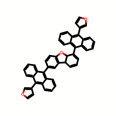 C1=CC2c3cc(-c4c5ccccc5c(-c5ccoc5)c5ccccc45)ccc3OC2C(c2c3ccccc3c(-c3ccoc3)c3ccccc23)=C1